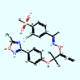 C=C=C(O/N=C(\C)c1ccc(S(C)(=O)=O)c(F)c1)C(C)(C)Oc1ccc(-c2noc(C(C)C)n2)cc1